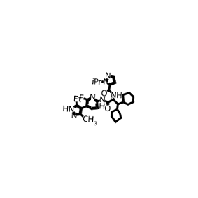 CCc1[nH]nc(C)c1-c1ccc(NC(=O)[C@@H](NC(=O)c2ccnn2C(C)C)C(C2CCCCC2)C2CCCCC2)nc1F